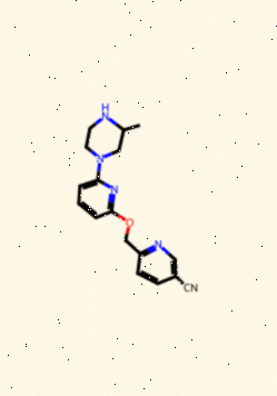 CC1CN(c2cccc(OCc3ccc(C#N)cn3)n2)CCN1